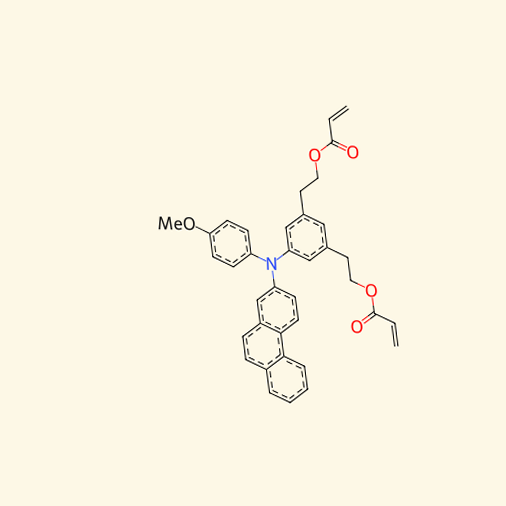 C=CC(=O)OCCc1cc(CCOC(=O)C=C)cc(N(c2ccc(OC)cc2)c2ccc3c(ccc4ccccc43)c2)c1